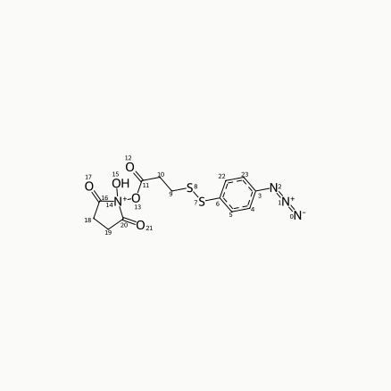 [N-]=[N+]=Nc1ccc(SSCCC(=O)O[N+]2(O)C(=O)CCC2=O)cc1